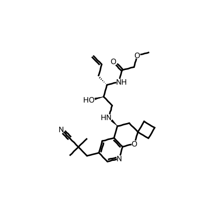 C=CC[C@H](NC(=O)COC)[C@H](O)CN[C@H]1CC2(CCC2)Oc2ncc(CC(C)(C)C#N)cc21